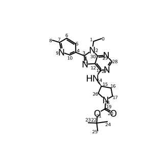 CCn1c(-c2ccc(C)nc2)nc2c(N[C@H]3CCN(C(=O)OC(C)(C)C)C3)ncnc21